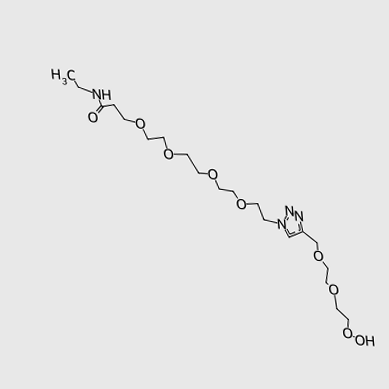 CCNC(=O)CCOCCOCCOCCOCCn1cc(COCCOCCOO)nn1